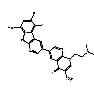 CNc1cc(F)c(F)c2c1[nH]c1ncc(-c3cnc4c(c3)c(=O)c(C(=O)O)cn4CCN(C)C)cc12